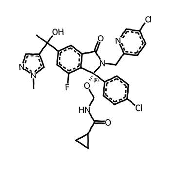 Cn1cc(C(C)(O)c2cc(F)c3c(c2)C(=O)N(Cc2ccc(Cl)cn2)[C@@]3(OCNC(=O)C2CC2)c2ccc(Cl)cc2)cn1